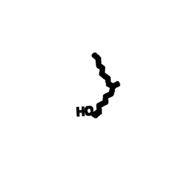 CCCCCCCC(C)CCCC/C=C\O